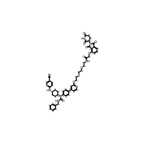 N#Cc1ccc(N[C@H]2CC[C@H](N(C(=O)NCc3ccccc3)c3ccc(-c4ccnc(OCCOCCOCCNC(=O)COc5cccc6c5C(=O)N(C5CCC(=O)NC5=O)C6=O)c4)cc3)CC2)nc1